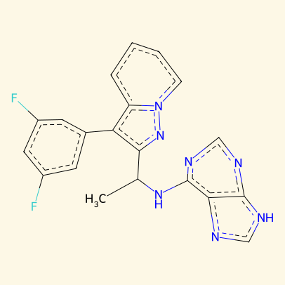 CC(Nc1ncnc2[nH]cnc12)c1nn2ccccc2c1-c1cc(F)cc(F)c1